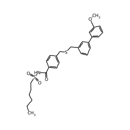 CCCCCCS(=O)(=O)NC(=O)c1ccc(CSCc2cccc(-c3cccc(OC)c3)c2)cc1